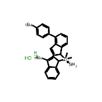 CCCCC1=C[CH]([Zr]([CH3])([CH3])(=[SiH2])[CH]2C(C)=Cc3c(-c4ccc(C(C)(C)C)cc4)cccc32)c2ccccc21.Cl.Cl